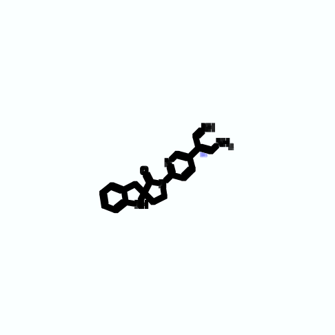 N=C/C(=C\N)c1ccc(N2CCC3(Cc4ccccc4N3)C2=O)nc1